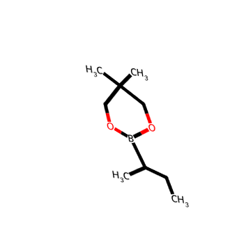 CCC(C)B1OCC(C)(C)CO1